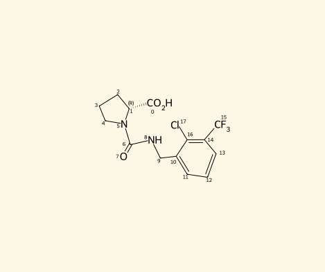 O=C(O)[C@H]1CCCN1C(=O)NCc1cccc(C(F)(F)F)c1Cl